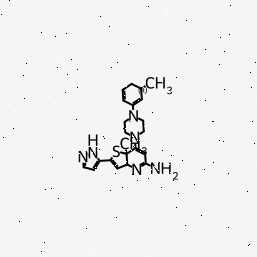 C[C@H]1C=C(N2CCN(C3=CC(N)=NC4C=C(c5ccn[nH]5)SC34C)CC2)C=CC1